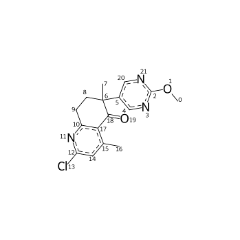 COc1ncc(C2(C)CCc3nc(Cl)cc(C)c3C2=O)cn1